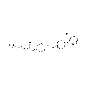 CCCNC(=O)C=C1CCC(CCN2CCN(c3ccccc3F)CC2)CC1